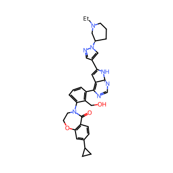 CCN1CCC[C@@H](n2cc(-c3cc4c(-c5cccc(N6CCOc7cc(C8CC8)ccc7C6=O)c5CO)ncnc4[nH]3)cn2)C1